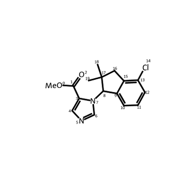 COC(=O)c1cncn1C1c2cccc(Cl)c2CC1(C)C